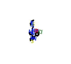 CCN1CCN(CCNc2nccc(-c3c(-c4ccc(Cl)c(OC)c4)nc4sccn34)n2)S1